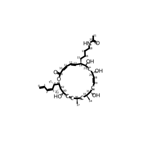 C=C/C=C\[C@H](C)[C@@H]1OC(=O)/C=C\C=C\[C@@H](CCCCNC(C)=O)[C@@H](O)C[C@H](O)/C=C\C[C@H](O)[C@@H](C)C[C@@H](C)CC[C@@H](O)[C@@H]1C